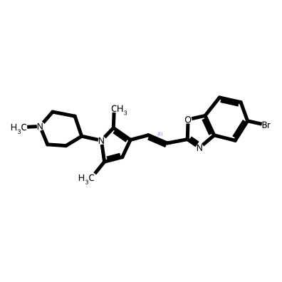 Cc1cc(/C=C/c2nc3cc(Br)ccc3o2)c(C)n1C1CCN(C)CC1